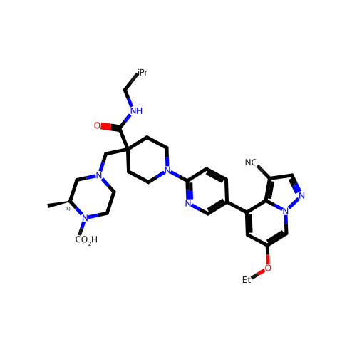 CCOc1cc(-c2ccc(N3CCC(CN4CCN(C(=O)O)[C@@H](C)C4)(C(=O)NCC(C)C)CC3)nc2)c2c(C#N)cnn2c1